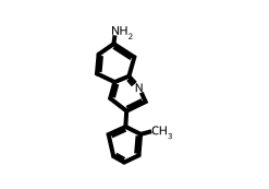 Cc1ccccc1-c1cnc2cc(N)ccc2c1